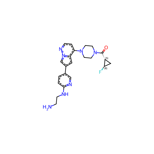 NCCNc1ccc(-c2cc3c(N4CCN(C(=O)[C@@H]5C[C@H]5F)CC4)ccnn3c2)cn1